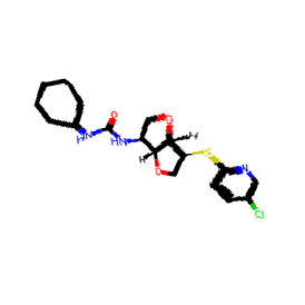 O=C(NC1CCCCC1)N[C@H]1CO[C@H]2[C@@H]1OC[C@@H]2Sc1ccc(Cl)cn1